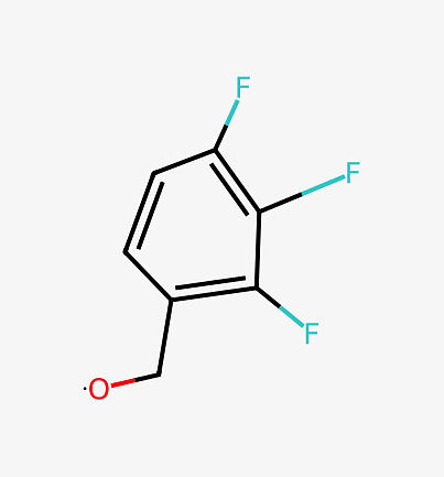 [O]Cc1ccc(F)c(F)c1F